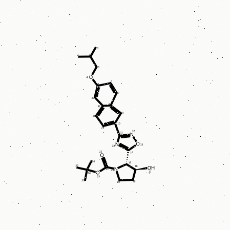 CC(C)COc1ccc2cc(-c3noc([C@@H]4[C@@H](O)CCN4C(=O)OC(C)(C)C)n3)ccc2c1